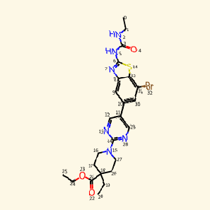 CCNC(=O)Nc1nc2cc(-c3cnc(N4CCC(CC)(C(=O)OCC)CC4)nc3)cc(Br)c2s1